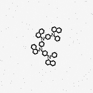 c1ccc(N(c2ccc(N(c3ccc(N(c4ccc(N(c5ccccc5)c5cccc6ccccc56)cc4)c4cccc5ccccc45)cc3)c3cccc4ccccc34)cc2)c2cccc3ccccc23)cc1